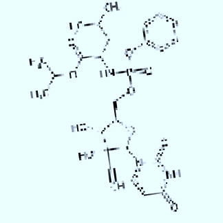 C#C[C@]1(O)C(n2ccc(=O)[nH]c2=O)O[C@H](COP(=O)(N[C@@H](CC(C)C)C(=O)OC(C)C)Oc2ccccc2)[C@H]1O